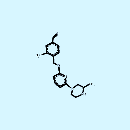 Cc1cc(C=O)ccc1COc1cccc(N2CCNC(C)C2)n1